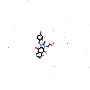 COCC[n+]1c2c(n(Cc3ccc(Cl)cc3)c1C)C(=O)c1ccccc1C2=O